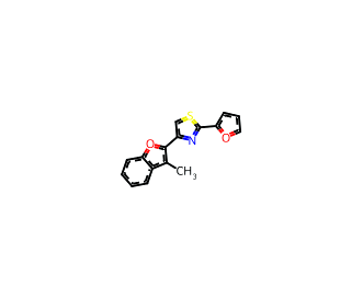 Cc1c(-c2csc(-c3ccco3)n2)oc2ccccc12